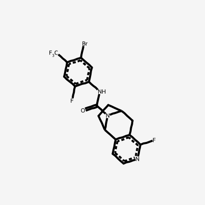 O=C(Nc1cc(Br)c(C(F)(F)F)cc1F)N1C2CCC1c1ccnc(F)c1C2